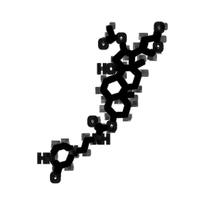 CC(=O)OC1CC2(O)C3CCC4CC(OC(=O)NCCN5CCNC(=O)C5)CCC4(C)C3CCC2(C)C1C1=CC(=O)OC1